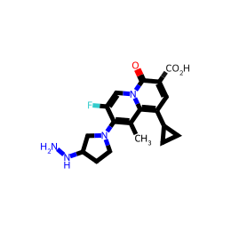 Cc1c(N2CCC(NN)C2)c(F)cn2c(=O)c(C(=O)O)cc(C3CC3)c12